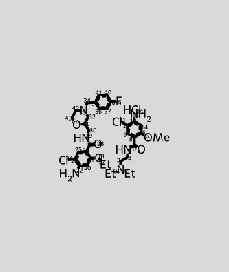 CCN(CC)CCNC(=O)c1cc(Cl)c(N)cc1OC.CCOc1cc(N)c(Cl)cc1C(=O)NCC1CN(Cc2ccc(F)cc2)CCO1.Cl